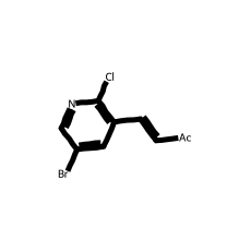 CC(=O)/C=C/c1cc(Br)cnc1Cl